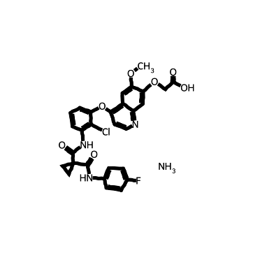 COc1cc2c(Oc3cccc(NC(=O)C4(C(=O)Nc5ccc(F)cc5)CC4)c3Cl)ccnc2cc1OCC(=O)O.N